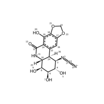 [N-]=[N+]=N[C@H]1[C@H](O)[C@@H](O)[C@@H](O)[C@@H]2NC(=O)c3c(cc4c(c3O)OCO4)[C@@H]12